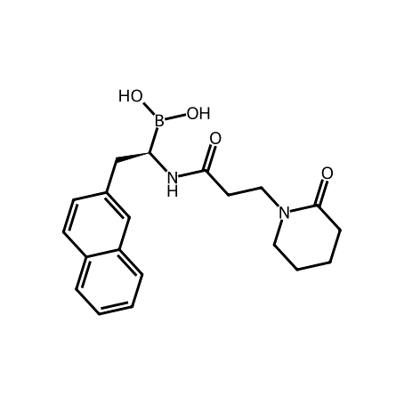 O=C(CCN1CCCCC1=O)N[C@@H](Cc1ccc2ccccc2c1)B(O)O